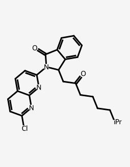 CC(C)CCCCC(=O)CC1c2ccccc2C(=O)N1c1ccc2ccc(Cl)nc2n1